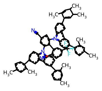 CC1=CC(C)C(C)C=C1c1ccc2c(c1)c1cc(-c3ccc(C)cc3C)ccc1n2-c1cc(C#N)cc(-n2c3ccc(-c4ccc(C)cc4C)cc3c3cc(-c4ccc(C)cc4C)ccc32)c1-c1cc(C(F)(F)F)ccc1C#N